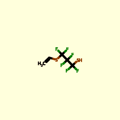 C=CSC(F)(F)C(F)(F)C(F)(F)S